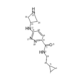 O=C(NCCC1CC1)c1ccc(NC2CNC2)nn1